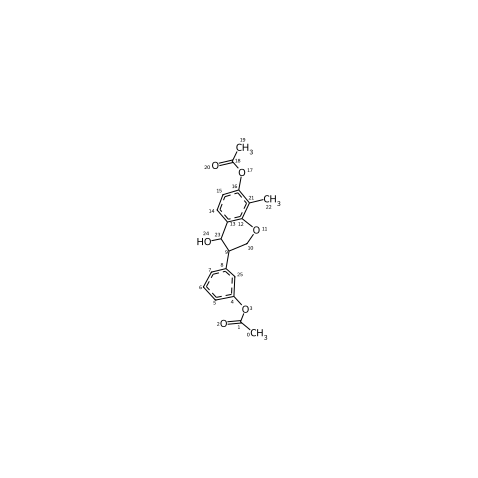 CC(=O)Oc1cccc(C2COc3c(ccc(OC(C)=O)c3C)C2O)c1